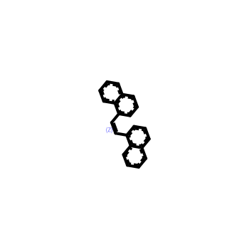 C(=C/c1cccc2ccccc12)/c1cccc2ccccc12